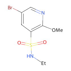 CCNS(=O)(=O)c1cc(Br)cnc1OC